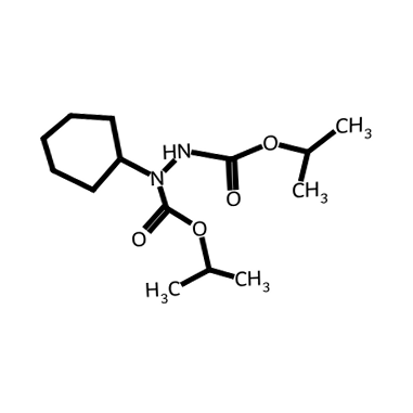 CC(C)OC(=O)NN(C(=O)OC(C)C)C1CCCCC1